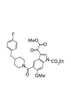 CCOC(=O)n1cc(C(=O)C(=O)OC)c2cc(C(=O)N3CCC(Cc4ccc(F)cc4)CC3)c(OC)cc21